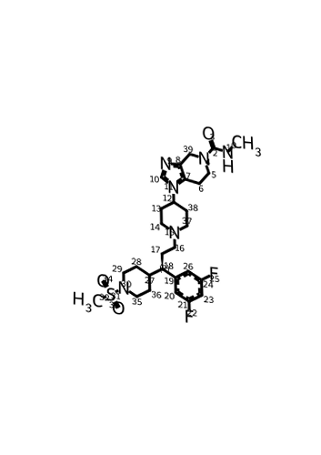 CNC(=O)N1CCc2c(ncn2C2CCN(CC[C@@H](c3cc(F)cc(F)c3)C3CCN(S(C)(=O)=O)CC3)CC2)C1